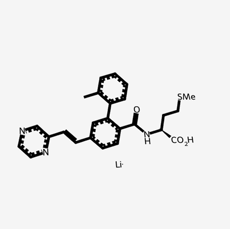 CSCC[C@H](NC(=O)c1ccc(C=Cc2cnccn2)cc1-c1ccccc1C)C(=O)O.[Li]